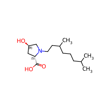 CC(C)CCCC(C)CCN1C[C@H](O)C[C@H]1C(=O)O